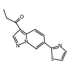 CCC(=O)c1cnn2cc(-c3nccs3)ccc12